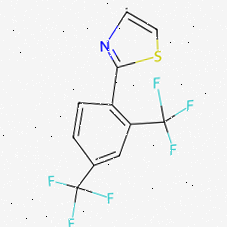 FC(F)(F)c1ccc(-c2n[c]cs2)c(C(F)(F)F)c1